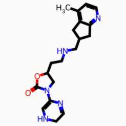 Cc1ccnc2c1CC(CNCCC1CN(C3=CNCC=N3)C(=O)O1)C2